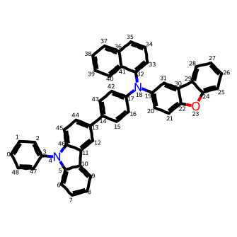 c1ccc(-n2c3ccccc3c3cc(-c4ccc(N(c5ccc6oc7ccccc7c6c5)c5cccc6ccccc56)cc4)ccc32)cc1